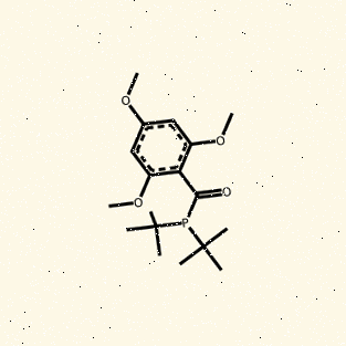 COc1cc(OC)c(C(=O)P(C(C)(C)C)C(C)(C)C)c(OC)c1